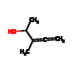 C=C=C(C)C(C)O